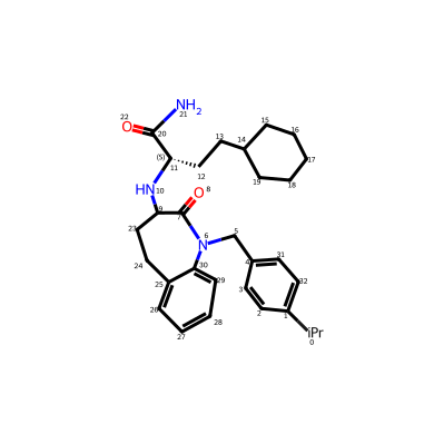 CC(C)c1ccc(CN2C(=O)C(N[C@@H](CCC3CCCCC3)C(N)=O)CCc3ccccc32)cc1